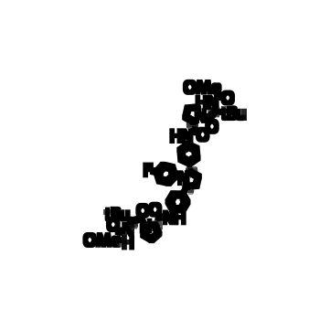 COC(=O)N[C@H](C(=O)N1CCC[C@H]1C(=O)Nc1ccc([C@@H]2CC[C@@H](c3ccc(NC(=O)[C@@H]4CCCN4C(=O)[C@@H](NC(=O)OC)C(C)(C)C)cc3)N2c2ccc(F)cc2)cc1)C(C)(C)C